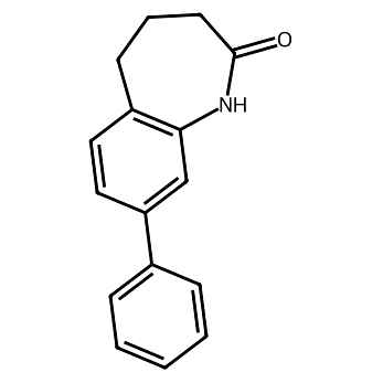 O=C1CCCc2ccc(-c3ccccc3)cc2N1